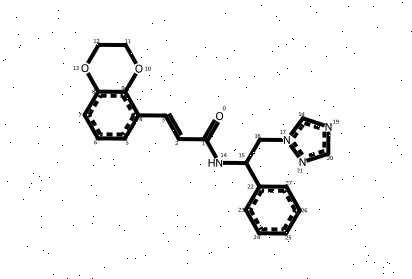 O=C(/C=C/c1cccc2c1OCCO2)NC(Cn1cncn1)c1ccccc1